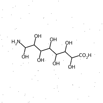 NC(O)C(O)C(O)C(O)C(O)C(O)C(O)C(=O)O